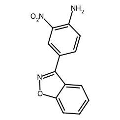 Nc1ccc(-c2noc3ccccc23)cc1[N+](=O)[O-]